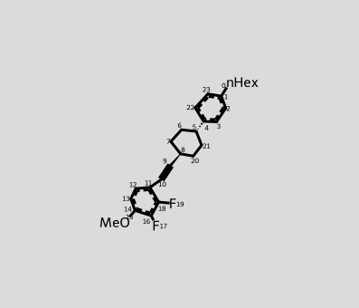 CCCCCCc1ccc([C@H]2CC[C@H](C#Cc3ccc(OC)c(F)c3F)CC2)cc1